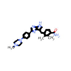 Cc1c(Cc2c[nH]c3ncc(-c4ccc(N5CCN(C)CC5)cc4)nc23)ccc(C(N)=O)c1C